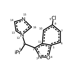 CC(C)C(c1noc2ccc(Cl)cc12)n1ccnc1